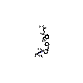 CNC(=O)CCN(C=O)c1cccc2c1cnn2C1CCN(CC2CN(/C(N)=C/C=C(\N)C=O)CCO2)CC1